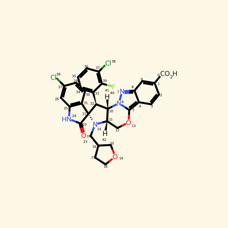 O=C(O)c1ccc2c3n(nc2c1)[C@@H]1[C@H](CO3)N(CC2CCOC2)[C@@]2(C(=O)Nc3cc(Cl)ccc32)[C@H]1c1cccc(Cl)c1F